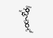 COc1ccc(CN(CCC2OCC3(CCN(C(=O)OC(C)(C)C)CC3)CO2)c2ncc(C#N)s2)cc1F